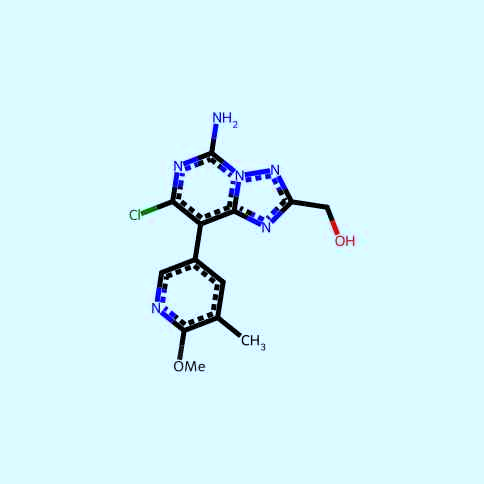 COc1ncc(-c2c(Cl)nc(N)n3nc(CO)nc23)cc1C